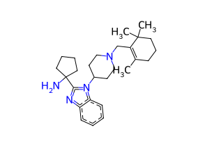 CC1=C(CN2CCC(n3c(C4(N)CCCC4)nc4ccccc43)CC2)C(C)(C)CCC1